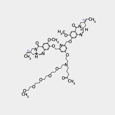 C/C=C1\C[C@H]2C=Nc3cc(OCc4cc(OCCN(CCCC(C)=O)CCOCCOCCOCCOCCOC)cc(COc5cc6c(cc5OC)C(=O)N5C/C(=C/C)C[C@H]5C=N6)n4)c(OC)cc3C(=O)N2C1